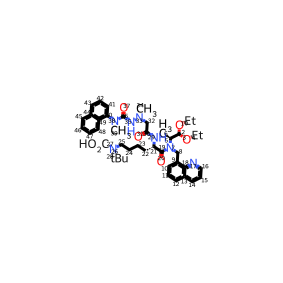 CCOC(OCC)[C@H](C)N(Cc1cccc2cccnc12)C(=O)[C@H](CCCCN(C(=O)O)C(C)(C)C)NC(=O)CN(C)NC(=O)N(C)c1cccc2ccccc12